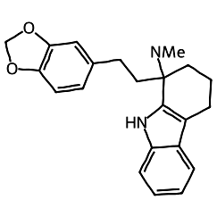 CNC1(CCc2ccc3c(c2)OCO3)CCCc2c1[nH]c1ccccc21